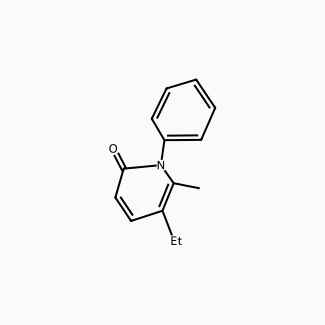 CCc1ccc(=O)n(-c2ccccc2)c1C